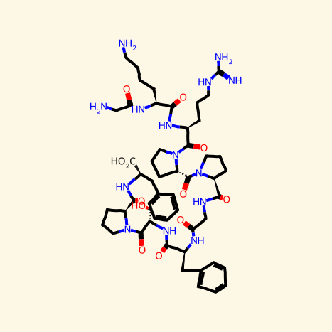 N=C(N)NCCC[C@H](NC(=O)[C@H](CCCCN)NC(=O)CN)C(=O)N1CCC[C@H]1C(=O)N1CCC[C@H]1C(=O)NCC(=O)N[C@@H](Cc1ccccc1)C(=O)N[C@@H](CO)C(=O)N1CCC[C@H]1C(=O)N[C@H](Cc1ccccc1)C(=O)O